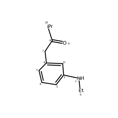 CCNc1cccc(CC(=O)C(C)C)c1